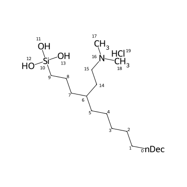 CCCCCCCCCCCCCCCC(CCC[Si](O)(O)O)CCN(C)C.Cl